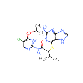 CC(C)Oc1nc(NC(=O)[C@@H](Sc2nc(N)nc3nc[nH]c23)C(C)C)ncc1Cl